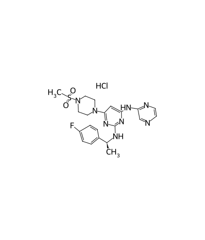 C[C@H](Nc1nc(Nc2cnccn2)cc(N2CCN(S(C)(=O)=O)CC2)n1)c1ccc(F)cc1.Cl